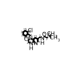 CN(C)CC(=O)NCc1cnc2c(c1)N(Cc1c(Cl)cccc1Cl)CCN2